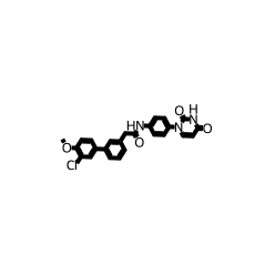 COc1ccc(-c2cccc(CC(=O)Nc3ccc(-n4ccc(=O)[nH]c4=O)cc3)c2)cc1Cl